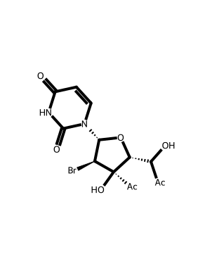 CC(=O)C(O)[C@H]1O[C@@H](n2ccc(=O)[nH]c2=O)[C@H](Br)[C@@]1(O)C(C)=O